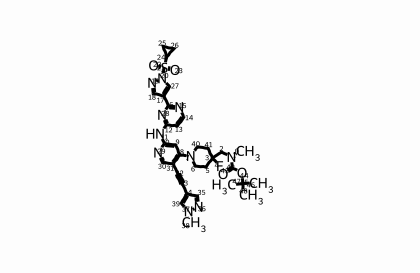 CN(CC1(F)CCN(c2cc(Nc3ccnc(-c4cnn(S(=O)(=O)C5CC5)c4)n3)ncc2C#Cc2cnn(C)c2)CC1)C(=O)OC(C)(C)C